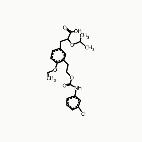 CCOc1ccc(CC(OC(C)C)C(=O)O)cc1CCOC(=O)Nc1cccc(Cl)c1